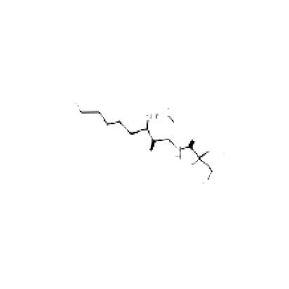 CC(C)(CS)C(=O)N[C@@H](CS)C(=O)C(N)CCCCCN.Cl